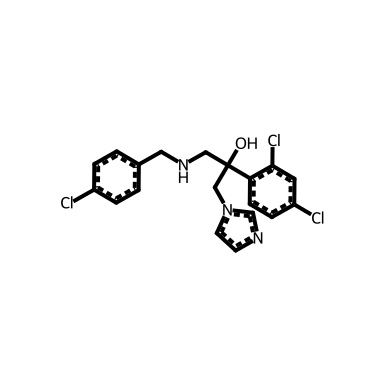 OC(CNCc1ccc(Cl)cc1)(Cn1ccnc1)c1ccc(Cl)cc1Cl